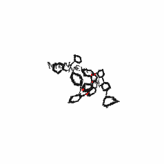 CNC(c1ccccc1)[N+](C)(Cc1ccccc1)c1ccc(-n2c3ccccc3c3ccc4c(c5ccccc5n4-c4cc(-c5ccccc5)ccc4-c4cccc(-c5ccccc5Nc5ccccc5)c4)c32)cc1